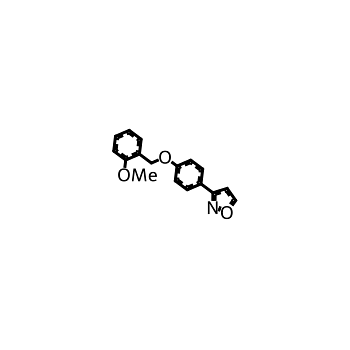 COc1ccccc1COc1ccc(-c2ccon2)cc1